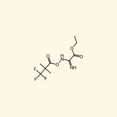 CCOC(=O)C(=N)NOC(=O)C(C)(C)C(F)(F)F